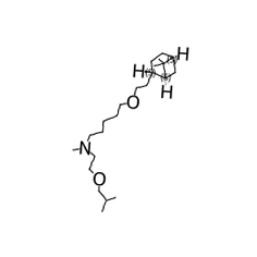 CC(C)COCCN(C)CCCCCOCC[C@@H]1CC[C@H]2C[C@@H]1C2(C)C